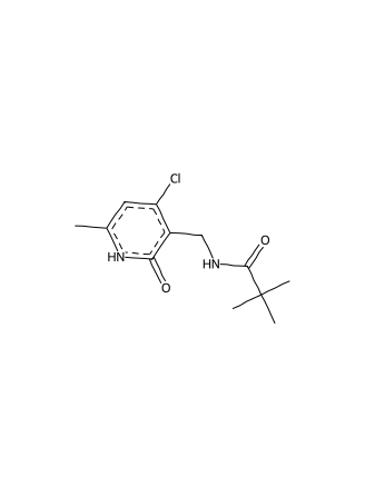 Cc1cc(Cl)c(CNC(=O)C(C)(C)C)c(=O)[nH]1